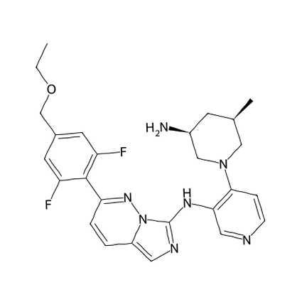 CCOCc1cc(F)c(-c2ccc3cnc(Nc4cnccc4N4C[C@H](C)C[C@H](N)C4)n3n2)c(F)c1